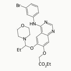 CCOC(=O)COc1cc2ncnc(Nc3cccc(Br)c3)c2cc1OC(CC)N1CCOCC1